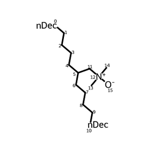 CCCCCCCCCCCCCCC(CCCCCCCCCCCCCC)C[N+](C)(C)[O-]